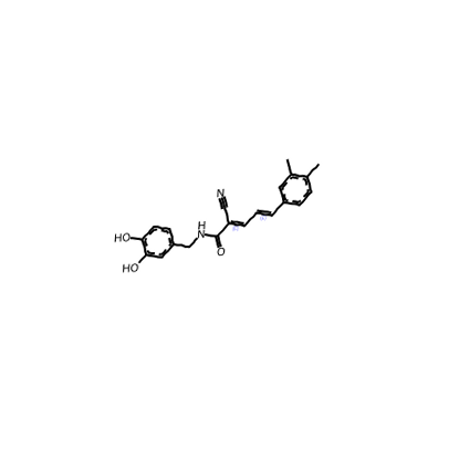 Cc1ccc(/C=C/C=C(\C#N)C(=O)NCc2ccc(O)c(O)c2)cc1C